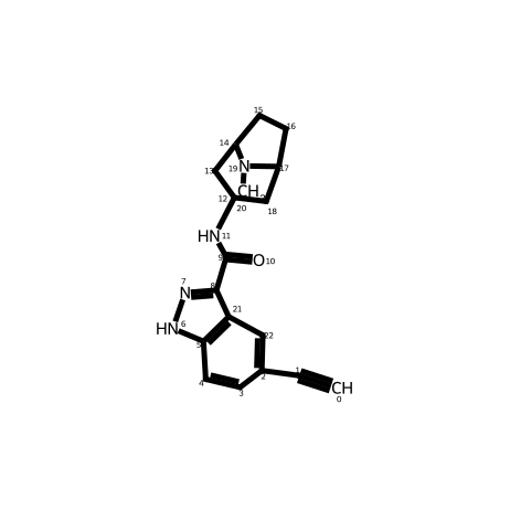 C#Cc1ccc2[nH]nc(C(=O)NC3CC4CCC(C3)N4C)c2c1